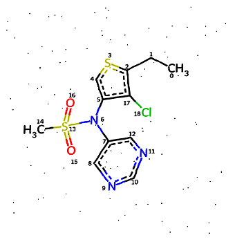 CCc1scc(N(c2cncnc2)S(C)(=O)=O)c1Cl